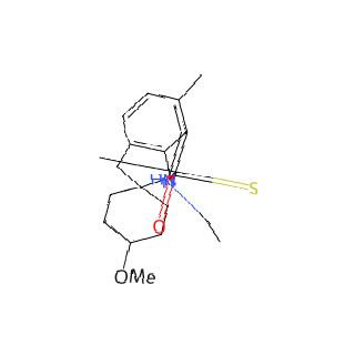 COC1CCC2(CC1)Cc1ccc(C)cc1C21NC(=S)N(C)C1=O